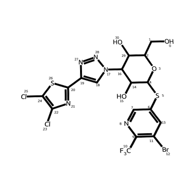 OCC1OC(Sc2cnc(C(F)(F)F)c(Br)c2)C(O)C(n2cc(-c3nc(Cl)c(Cl)s3)nn2)C1O